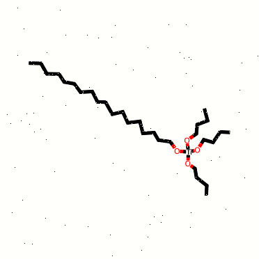 CCCCCCCCCCCCCCCCCC[O][Ti]([O]CCCC)([O]CCCC)[O]CCCC